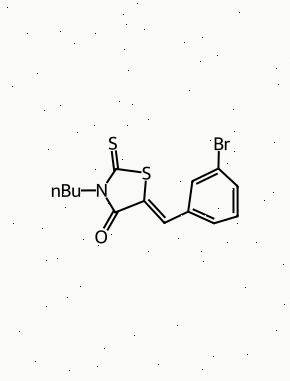 CCCCN1C(=O)C(=Cc2cccc(Br)c2)SC1=S